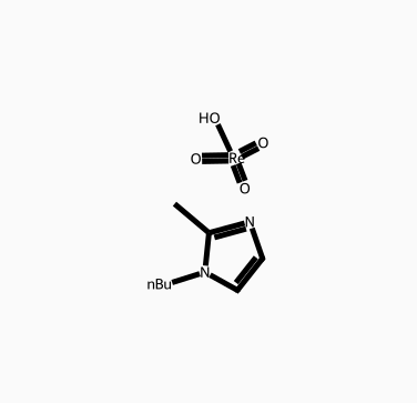 CCCCn1ccnc1C.[O]=[Re](=[O])(=[O])[OH]